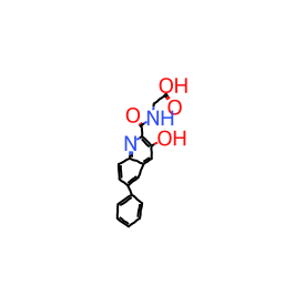 O=C(O)CNC(=O)c1nc2ccc(-c3ccccc3)cc2cc1O